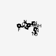 CN(C)C(=O)c1ccc(Nc2nccc(-c3cc(C#N)c4c(c3)CCN4C(=O)Cc3ccccc3F)n2)cn1